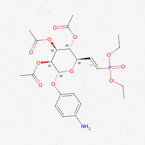 CCOP(=O)(/C=C/[C@H]1O[C@H](Oc2ccc(N)cc2)[C@@H](OC(C)=O)[C@@H](OC(C)=O)[C@@H]1OC(C)=O)OCC